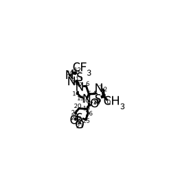 Cc1cnc(C2CN(c3nnc(C(F)(F)F)s3)CCN2C(=O)C2CCS(=O)(=O)CC2)s1